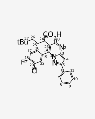 Cc1nc2cc(-c3ccccc3)nn2c(-c2ccc(F)c(Cl)c2)c1C(CCC(C)(C)C)C(=O)O